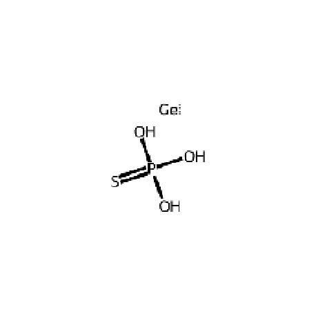 OP(O)(O)=S.[Ge]